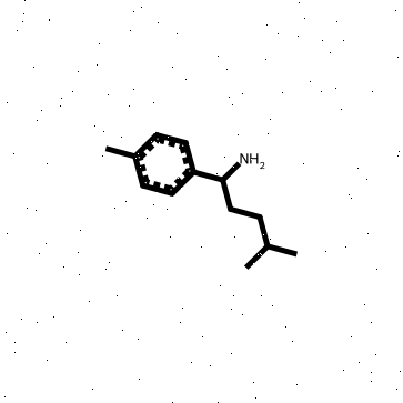 Cc1ccc(C(N)CCC(C)C)cc1